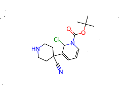 CC(C)(C)OC(=O)N1C=CC=C(C2(C#N)CCNCC2)C1Cl